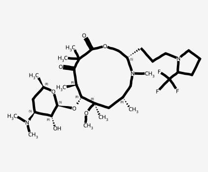 CO[C@]1(C)C[C@@H](C)CN(C)[C@@H](CCCN2CCCC2C(F)(F)F)COC(=O)C(C)(C)C(=O)[C@H](C)[C@H]1O[C@@H]1O[C@H](C)C[C@H](N(C)C)[C@H]1O